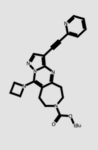 CC(C)(C)OC(=O)N1CCc2nc3c(C#Cc4ccccn4)cnn3c(N3CCC3)c2CC1